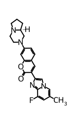 Cc1cc(F)c2nc(-c3cc4ccc(N5CCN6CCC[C@H]6C5)cc4oc3=O)cn2c1